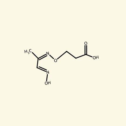 CC(C=NO)=NOCCC(=O)O